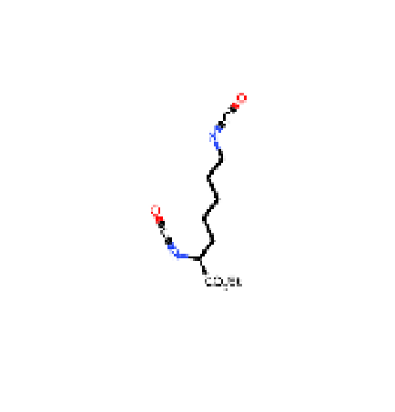 CCOC(=O)[C@H](CCCCCN=C=O)N=C=O